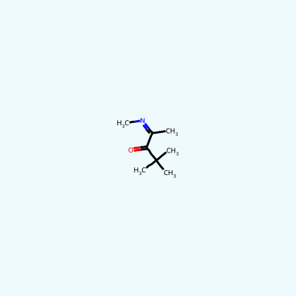 CN=C(C)C(=O)C(C)(C)C